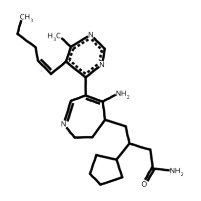 CCC/C=C\c1c(C)ncnc1C1=C(N)C(CC(CC(N)=O)C2CCCC2)CCN=C1